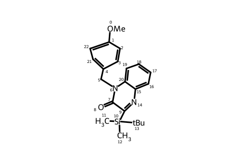 COc1ccc(Cn2c(=O)c([Si](C)(C)C(C)(C)C)nc3ccccc32)cc1